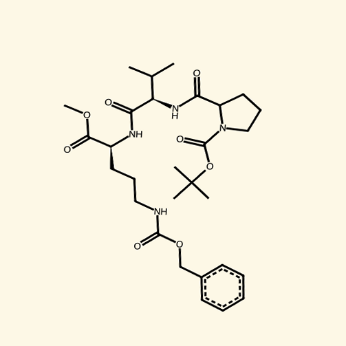 COC(=O)[C@H](CCCNC(=O)OCc1ccccc1)NC(=O)[C@H](NC(=O)C1CCCN1C(=O)OC(C)(C)C)C(C)C